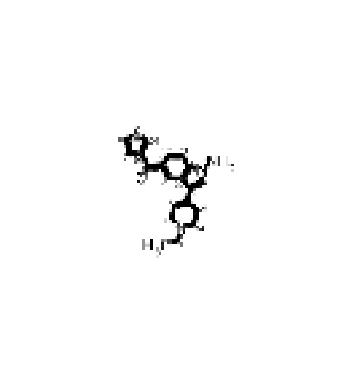 CCN1CC=C(c2cn(N)c3ccc(C(=O)c4ccsc4)cc23)CC1